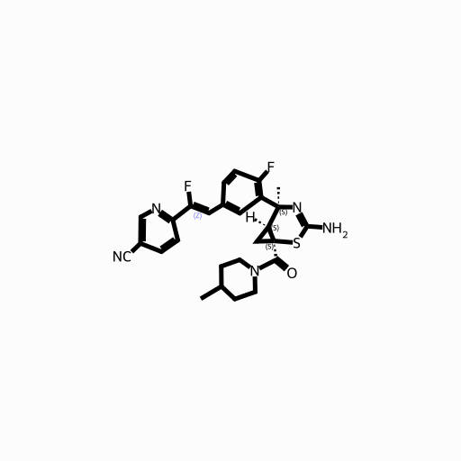 CC1CCN(C(=O)[C@]23C[C@H]2[C@@](C)(c2cc(/C=C(\F)c4ccc(C#N)cn4)ccc2F)N=C(N)S3)CC1